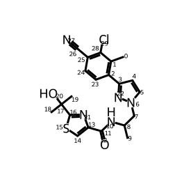 Cc1c(-c2ccn(CC(C)NC(=O)c3csc(C(C)(C)O)n3)n2)ccc(C#N)c1Cl